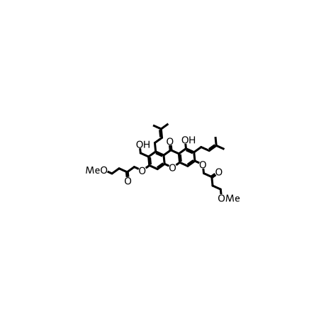 COCCC(=O)COc1cc2oc3cc(OCC(=O)CCOC)c(CO)c(CC=C(C)C)c3c(=O)c2c(O)c1CC=C(C)C